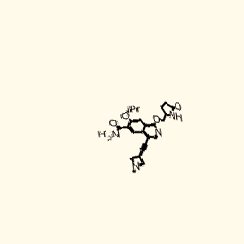 CC(C)Oc1cc2c(OCC3CCC(=O)N3)ncc(C#CC3CN(C)C3)c2cc1C(N)=O